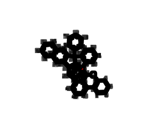 C1=CC2=C(CC1)Oc1c(-c3ccccc3C3(c4ccccc4)c4ccccc4-c4cc5ccccc5cc43)ccc3cccc2c13